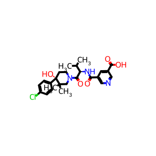 CC(C)[C@@H](NC(=O)c1cncc(C(=O)O)c1)C(=O)N1CC[C@](O)(c2ccc(Cl)cc2)C(C)(C)C1